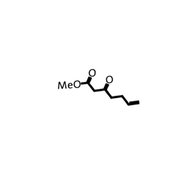 C=CCCC(=O)CC(=O)OC